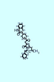 CC(C)CC1SC(CC(=O)N2CCC(N3Cc4ccccc4NC3=O)CC2)C(=O)N1CCc1ccncc1